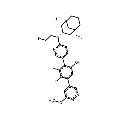 COc1cc(-c2cc(O)c(-c3ccc(N(CCF)[C@H]4C[C@]5(C)CCC[C@](C)(C4)C5)nn3)c(F)c2F)cnn1